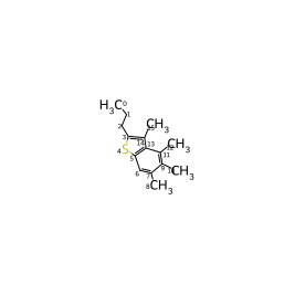 CCCc1sc2cc(C)c(C)c(C)c2c1C